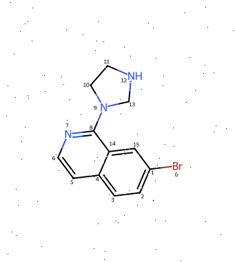 Brc1ccc2ccnc(N3CCNC3)c2c1